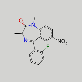 C[C@@H]1N=C(c2ccccc2F)c2cc([N+](=O)[O-])ccc2N(C)C1=O